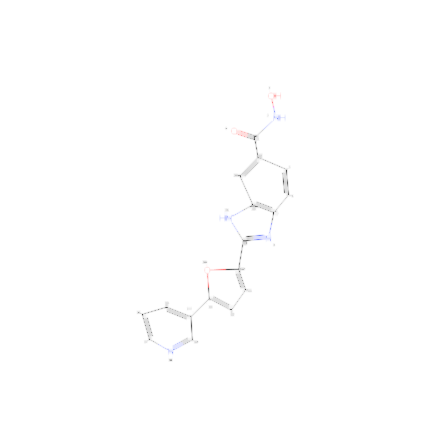 O=C(NO)c1ccc2nc(-c3ccc(-c4cccnc4)o3)[nH]c2c1